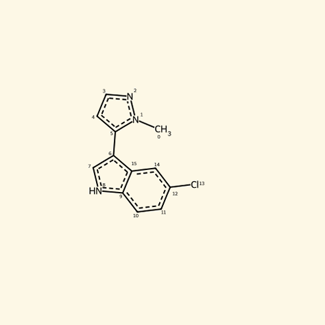 Cn1nccc1-c1c[nH]c2ccc(Cl)cc12